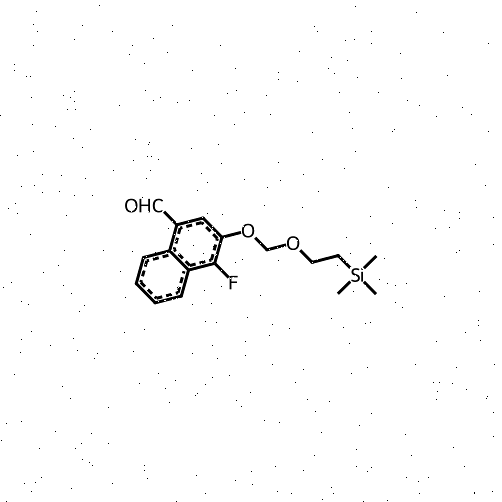 C[Si](C)(C)CCOCOc1cc(C=O)c2ccccc2c1F